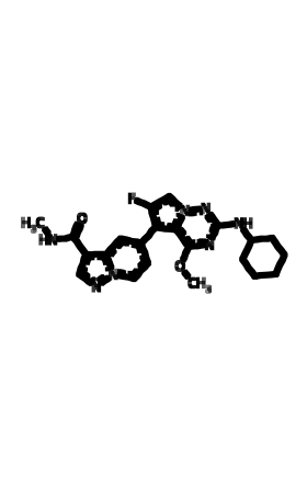 CNC(=O)c1cnn2ccc(-c3c(F)cn4nc(NC5CCCCC5)nc(OC)c34)cc12